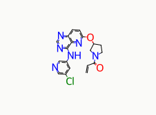 C=CC(=O)N1CC[C@H](Oc2ccc3ncnc(Nc4cncc(Cl)c4)c3n2)C1